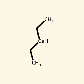 C[CH2][GaH][CH2]C